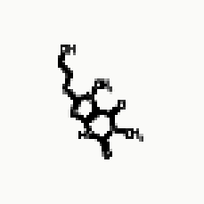 Cn1c(=O)[nH]c2nc(SCCO)n(C)c2c1=O